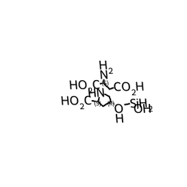 C[SiH2]O.N[C@@H](CC(=O)O)C(=O)O.O=C(O)[C@@H]1C[C@@H](O)CN1